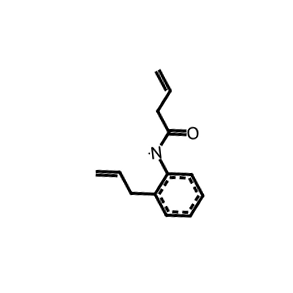 C=CCC(=O)[N]c1ccccc1CC=C